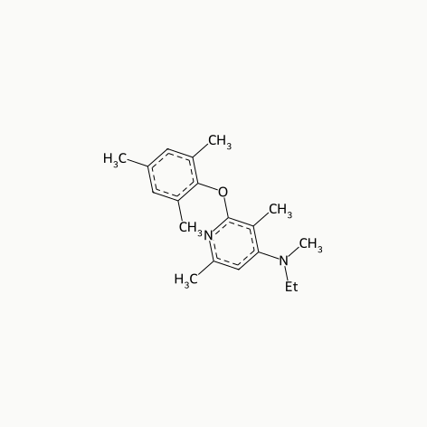 CCN(C)c1cc(C)nc(Oc2c(C)cc(C)cc2C)c1C